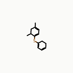 CC1=CC=C(SC2=CC=CCC2)C(C)C1